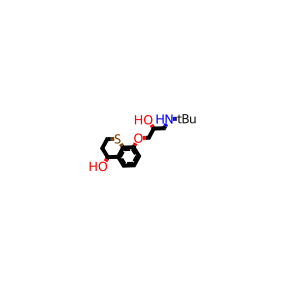 CC(C)(C)NCC(O)COc1cccc2c1SCCC2O